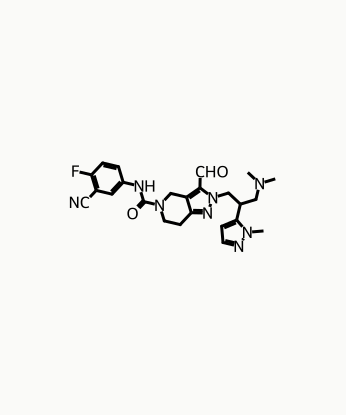 CN(C)CC(Cn1nc2c(c1C=O)CN(C(=O)Nc1ccc(F)c(C#N)c1)CC2)c1ccnn1C